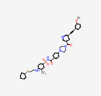 CCOc1cccc(C#Cc2cncc(C(=O)N3CCN(c4ccc(C(=O)NS(=O)(=O)c5ccc(NCCSc6ccccc6)c(C(F)(F)F)c5)cc4)CC3)c2)c1